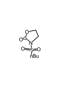 CCCCS(=O)(=O)N1CCOS1=O